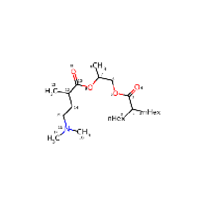 CCCCCCC(CCCCCC)C(=O)OCC(C)OC(=O)C(C)CCN(C)C